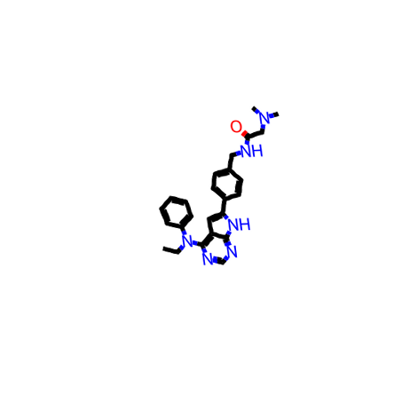 CCN(c1ccccc1)c1ncnc2[nH]c(-c3ccc(CNC(=O)CN(C)C)cc3)cc12